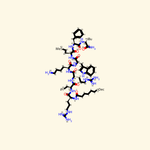 CCCCCCCCCCCCCCCC(=O)N[C@@H](CCCNC(=N)N)C(=O)N[C@@H](CC(C)C)C(=O)N[C@@H](CCCNC(=N)N)C(=O)N[C@@H](CCCCN)C(=O)N[C@@H](Cc1c[nH]c2ccccc12)C(=O)N[C@@H](CCSC)C(=O)N[C@@H](Cc1ccccc1)C(=O)N[C@H](C(N)=O)[C@@H](C)CC